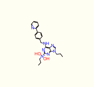 CCCn1cnc2c(NCc3ccc(-c4ccccn4)cc3)nc([N+](O)(O)CCC)nc21